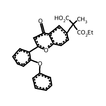 CCOC(=O)C(C)(C(=O)O)c1ccc2oc(-c3ccccc3Oc3ccccc3)cc(=O)c2c1